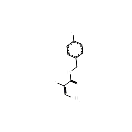 N/C=C(/N)C(=O)NCc1ccc(Cl)cc1